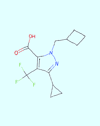 O=C(O)c1c(C(F)(F)F)c(C2CC2)nn1CC1CCC1